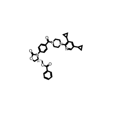 O=C(OC[C@@H]1COC(=O)N1c1ccc(C(=O)N2CCN(c3ncc(C4CC4)cc3C3CC3)CC2)cc1)c1ccccc1